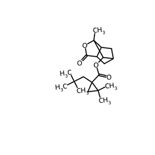 CC(C)(C)CC1(C(=O)OC2C3CC4C(=O)OC2(C)C4C3)CC1(C)C